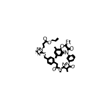 C=CCOC(=O)CCn1nnnc1SCc1ccc(CC(=O)N(C)C2=NN(c3cccc(NC(=O)C(CC)Oc4ccc(C)cc4C)c3)C(=O)C2C)cc1